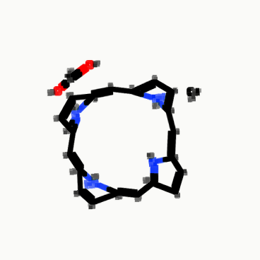 C1=Cc2cc3ccc(cc4nc(cc5ccc(cc1n2)[nH]5)C=C4)[nH]3.[Cu].[O]=[Ti]=[O]